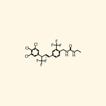 CCNC(=O)NCc1ccc(/C=C/C(c2cc(Cl)c(Cl)c(Cl)c2)C(F)(F)F)cc1C(F)(F)F